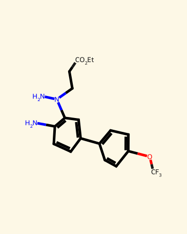 CCOC(=O)CCN(N)c1cc(-c2ccc(OC(F)(F)F)cc2)ccc1N